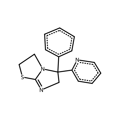 c1ccc(C2(c3ccccn3)CN=C3SCCN32)cc1